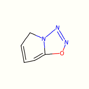 C1=CCN2N=NOC2=C1